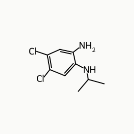 CC(C)Nc1cc(Cl)c(Cl)cc1N